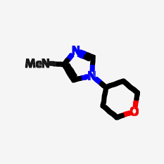 CNc1cn(C2CCOCC2)cn1